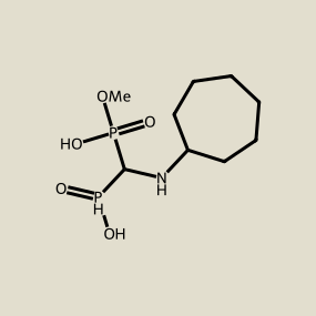 COP(=O)(O)C(NC1CCCCCC1)[PH](=O)O